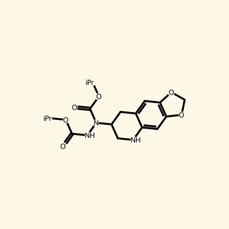 CC(C)OC(=O)NN(C(=O)OC(C)C)C1CNc2cc3c(cc2C1)OCO3